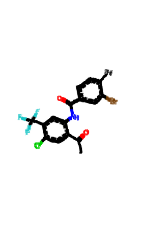 [2H]c1ccc(C(=O)Nc2cc(C(F)(F)F)c(Cl)cc2C(C)=O)cc1Br